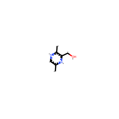 Cc1cnc(C)c(CO)n1